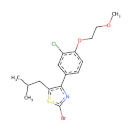 COCCOc1ccc(-c2nc(Br)sc2CC(C)C)cc1Cl